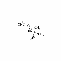 CC(C)C(C)(C)NOC=O